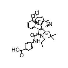 CCCN1[C@@H](CC(C)(C)C)[C@](C#N)(c2ccc(Cl)cc2F)[C@@H](c2cccc(Cl)c2F)[C@@H]1C(=O)Nc1ccc(C(=O)O)cc1